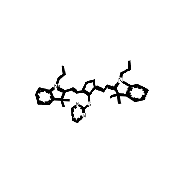 CCCN1/C(=C/C=C2\CCC(/C=C/C3=[N+](CCC)c4ccccc4C3(C)C)=C2Sc2ncccn2)C(C)(C)c2ccccc21